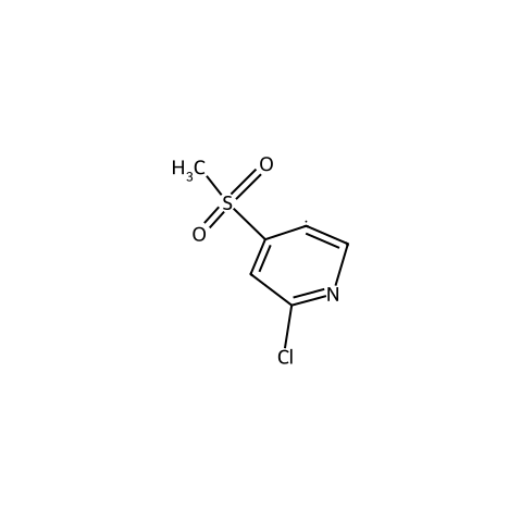 CS(=O)(=O)c1[c]cnc(Cl)c1